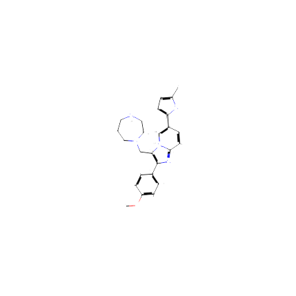 COc1ccc(-c2nc3ccc(-c4ccc(C)[nH]4)cn3c2CN2CCCNCC2)cc1